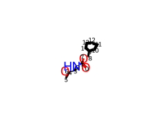 O=C(NC[C@H]1CO1)OCc1ccccc1